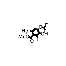 COC(=O)c1c(C)cc(OC(F)F)c(O)c1I